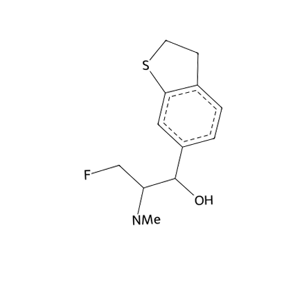 CNC(CF)C(O)c1ccc2c(c1)SCC2